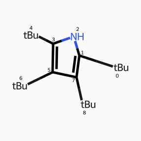 CC(C)(C)c1[nH]c(C(C)(C)C)c(C(C)(C)C)c1C(C)(C)C